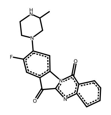 CC1CN(c2cc3c(cc2F)C(=O)c2nc4ccccc4c(=O)n2-3)CCN1